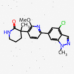 COc1nc(-c2cc(Cl)c3cnn(C)c3c2)ccc1C1(C)CCCNC1=O